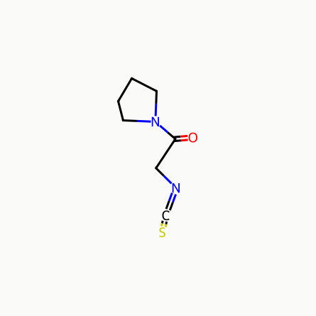 O=C(CN=C=S)N1CCCC1